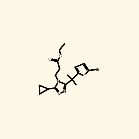 CCOC(=O)CCn1c(C2CC2)nnc1C(C)(C)c1ccc(Br)s1